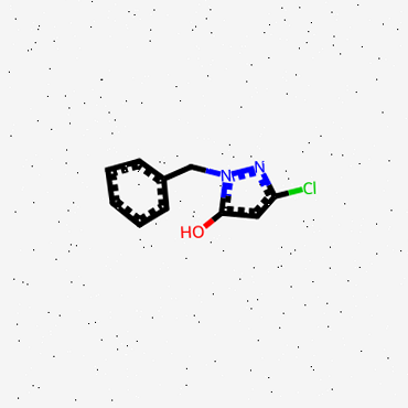 Oc1cc(Cl)nn1Cc1ccccc1